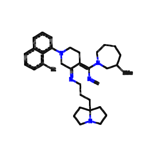 C=N/C(=C1/CCN(c2cccc3cccc(CC)c23)C/C1=N/CCCC12CCCN1CCC2)N1CCCCC(SC)C1